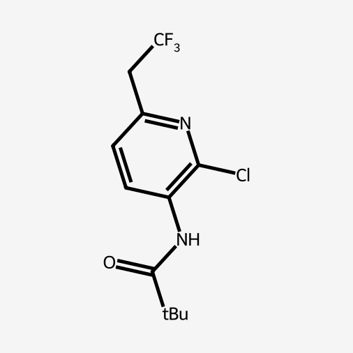 CC(C)(C)C(=O)Nc1ccc(CC(F)(F)F)nc1Cl